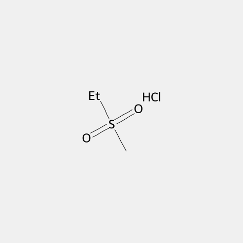 CCS(C)(=O)=O.Cl